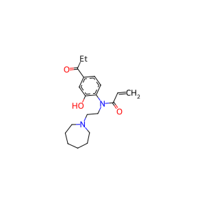 C=CC(=O)N(CCN1CCCCCC1)c1ccc(C(=O)CC)cc1O